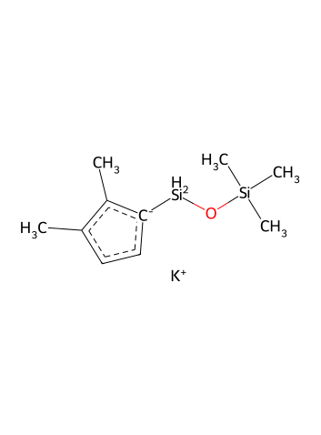 Cc1cc[c-]([SiH2]O[Si](C)(C)C)c1C.[K+]